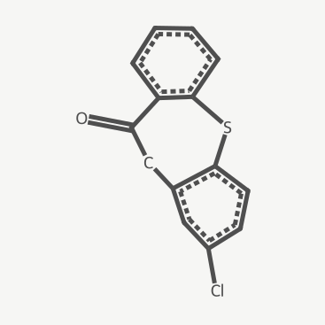 O=C1Cc2cc(Cl)ccc2Sc2ccccc21